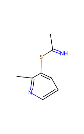 CC(=N)Sc1cccnc1C